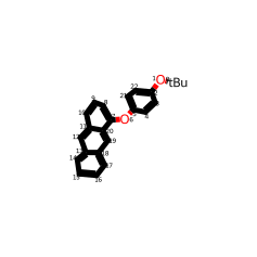 CC(C)(C)Oc1ccc(Oc2cccc3cc4ccccc4cc23)cc1